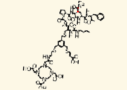 CCCCNC(=O)NC(CSCc1cc(CSCCNC(=O)CN2CCN(CC(=O)O)CCN(CC(=O)O)CCN(CC(=O)O)CC2)cc(CSCCC(=O)O)c1)C(=O)N(C)CC(=O)N1CCC[C@H]1C(=O)N[C@@H](CC)C(=O)N[C@@H](CCC(N)=O)C(=O)N[C@@H](Cc1ccccc1)C(C)=O